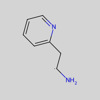 N[CH]Cc1ccccn1